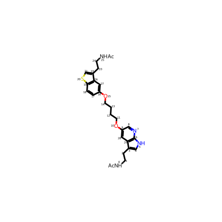 CC(=O)NCCc1c[nH]c2ncc(OCCCCOc3ccc4scc(CCNC(C)=O)c4c3)cc12